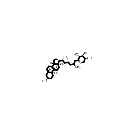 CC(CCC[C@@H](C)[C@H]1CC[C@H]2[C@@H]3CC=C4C[C@@H](O)CC[C@]4(C)[C@H]3CC[C@]12C)CC1OC[C@@H](O)[C@H](O)[C@H]1O